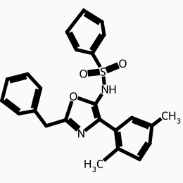 Cc1ccc(C)c(-c2nc(Cc3ccccc3)oc2NS(=O)(=O)c2ccccc2)c1